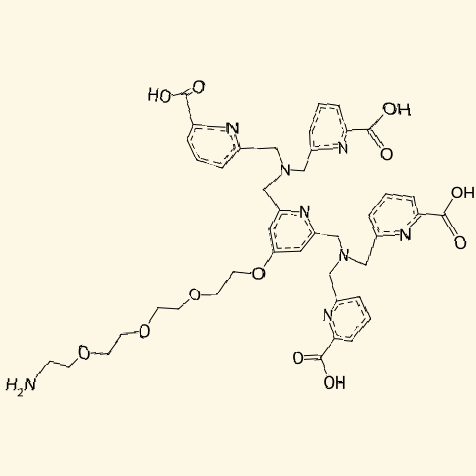 NCCOCCOCCOCCOc1cc(CN(Cc2cccc(C(=O)O)n2)Cc2cccc(C(=O)O)n2)nc(CN(Cc2cccc(C(=O)O)n2)Cc2cccc(C(=O)O)n2)c1